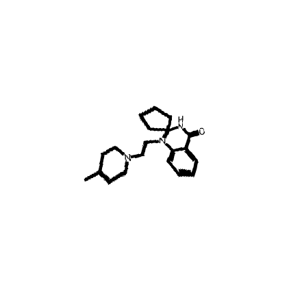 CC1CCN(CCN2c3ccccc3C(=O)NC23CCCC3)CC1